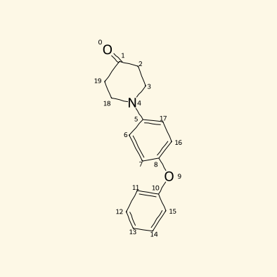 O=C1CCN(c2ccc(Oc3ccccc3)cc2)CC1